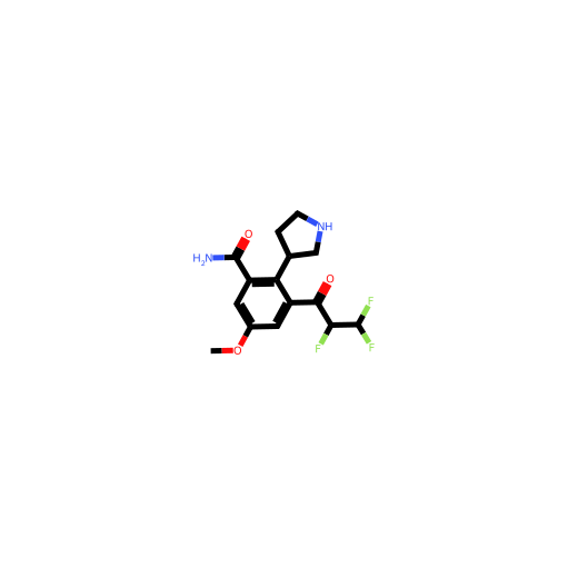 COc1cc(C(N)=O)c(C2CCNC2)c(C(=O)C(F)C(F)F)c1